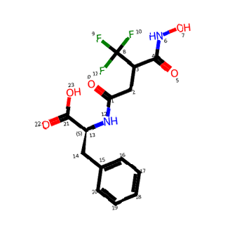 O=C(CC(C(=O)NO)C(F)(F)F)N[C@@H](Cc1ccccc1)C(=O)O